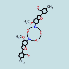 COc1cc2cc(-c3ccc(C)cc3C=O)oc2cc1N1CCOCCOCCN(c2cc3oc(-c4ccc(C)cc4C=O)cc3cc2OC)CCOCC1